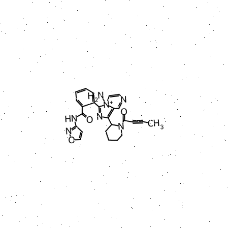 CC#CC(=O)N1CCCCC1C1=C2C=NC=C[N+]2(N)C(c2ccccc2C(=O)Nc2ccon2)=N1